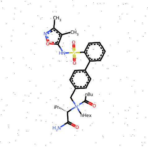 CCCCCC[N+](Cc1ccc(-c2ccccc2S(=O)(=O)Nc2onc(C)c2C)cc1)(C(=O)CCCC)[C@H](C(N)=O)C(C)C